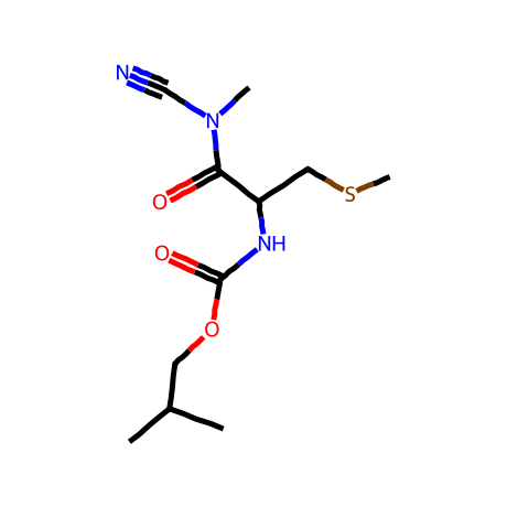 CSCC(NC(=O)OCC(C)C)C(=O)N(C)C#N